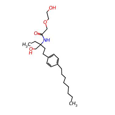 CCCCCCCCc1ccc(CCC(CC)(CO)NC(=O)COCCO)cc1